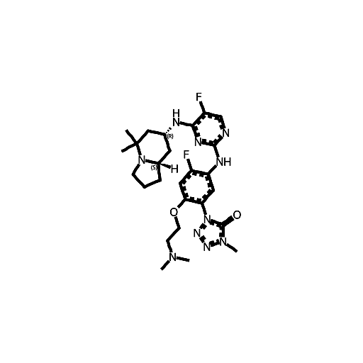 CN(C)CCOc1cc(F)c(Nc2ncc(F)c(N[C@@H]3C[C@@H]4CCCN4C(C)(C)C3)n2)cc1-n1nnn(C)c1=O